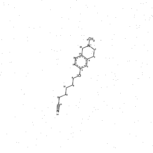 CN1CCc2cc(OCCCCCC#N)ccc2C1